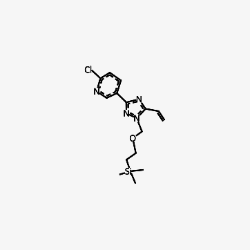 C=Cc1nc(-c2ccc(Cl)nc2)nn1COCC[Si](C)(C)C